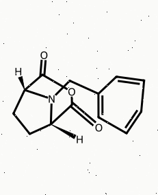 O=C1OC(=O)[C@@H]2CC[C@H]1N2Cc1ccccc1